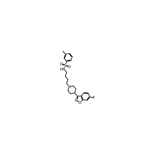 Cc1cccc(S(=O)(=O)NCCCCN2CCC(c3noc4cc(F)ccc34)CC2)c1